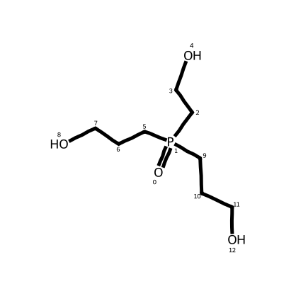 O=P(CCO)(CCCO)CCCO